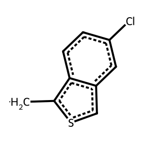 [CH2]c1scc2cc(Cl)ccc12